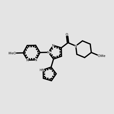 COc1ccc(-n2nc(C(=O)N3CCC(OC)CC3)cc2-c2ccc[nH]2)nn1